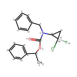 CC(OC(=O)N(Cc1ccccc1)C1C[C@@]1(F)Cl)c1ccccc1